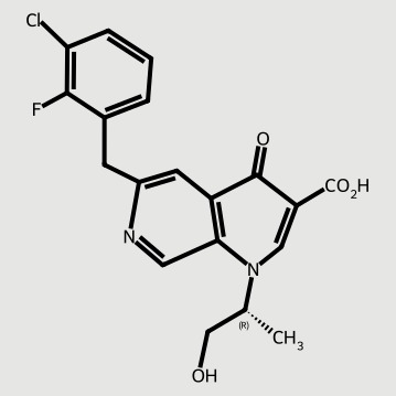 C[C@H](CO)n1cc(C(=O)O)c(=O)c2cc(Cc3cccc(Cl)c3F)ncc21